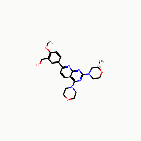 COc1ccc(-c2ccc3c(N4CCOCC4)nc(N4CCO[C@@H](C)C4)nc3n2)cc1CO